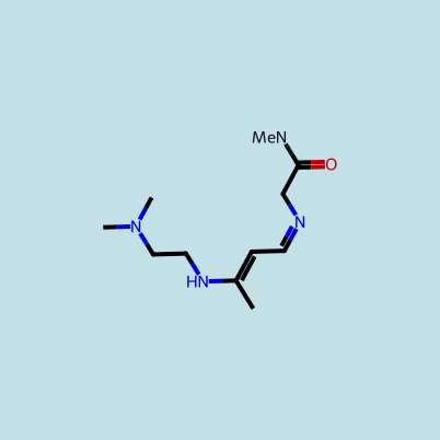 CNC(=O)C/N=C\C=C(/C)NCCN(C)C